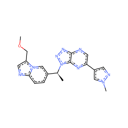 COCc1cnc2ccc([C@H](C)n3nnc4ncc(-c5cnn(C)c5)nc43)cn12